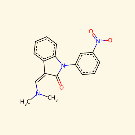 CN(C)C=C1C(=O)N(c2cccc([N+](=O)[O-])c2)c2ccccc21